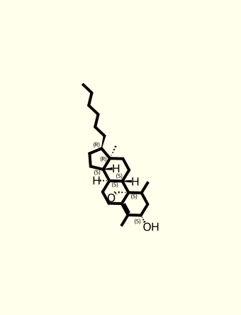 CCCCCC[C@@H]1CC[C@H]2[C@@H]3CCC4=C(C)[C@@H](O)CC(C)[C@]4(C=O)[C@H]3CC[C@]12C